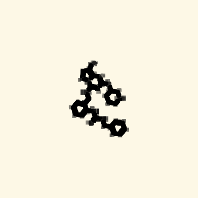 CC(C)c1cnn2c(NCc3ccccc3NC(=O)NCc3ccccc3)nc(OC3CCCNC3)nc12